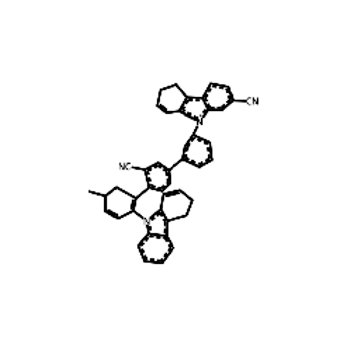 CC1C=CC(n2c3c(c4ccccc42)CCC=C3)=C(c2ccc(-c3cccc(-n4c5c(c6ccc(C#N)cc64)CCC=C5)c3)cc2C#N)C1